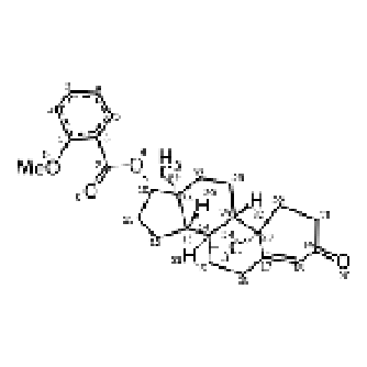 COc1ccccc1C(=O)O[C@H]1CC[C@H]2[C@@H]3CCC4=CC(=O)CC[C@]4(C)[C@H]3CC[C@]12C